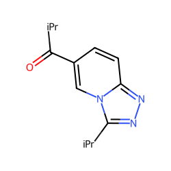 CC(C)C(=O)c1ccc2nnc(C(C)C)n2c1